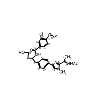 CC(=O)NC(C)c1nc(-c2ccc(CC(CCO)NC(=O)c3ccc(OC(C)C)c(Cl)c3)cc2)cn1C